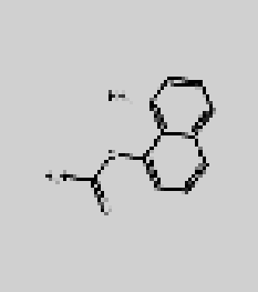 N.NC(=O)Oc1cccc2ccccc12